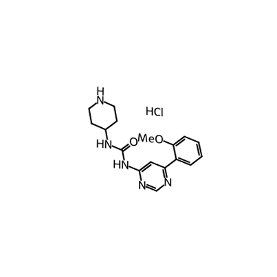 COc1ccccc1-c1cc(NC(=O)NC2CCNCC2)ncn1.Cl